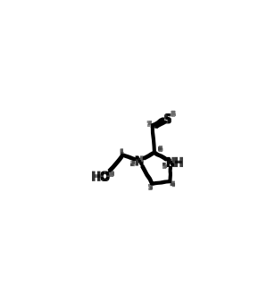 OCN1CCNC1C=S